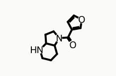 O=C(c1ccoc1)N1CCC2NCCCC21